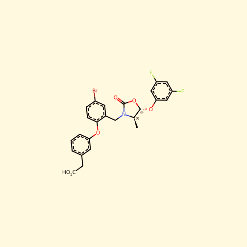 C[C@@H]1[C@@H](Oc2cc(F)cc(F)c2)OC(=O)N1Cc1cc(Br)ccc1Oc1cccc(CC(=O)O)c1